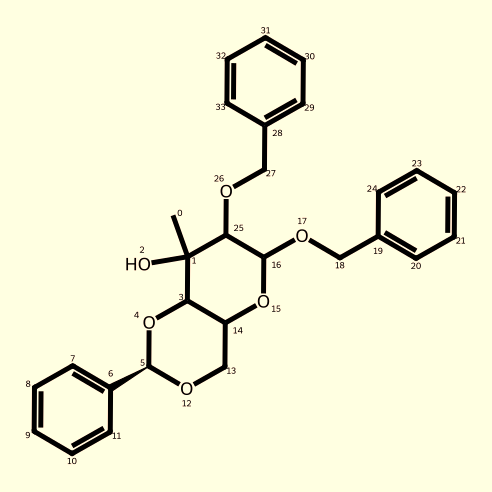 CC1(O)C2O[C@H](c3ccccc3)OCC2OC(OCc2ccccc2)C1OCc1ccccc1